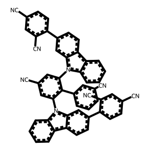 N#Cc1cccc(-c2c(-n3c4ccccc4c4ccc(-c5ccc(C#N)cc5C#N)cc43)cc(C#N)cc2-n2c3ccccc3c3ccc(-c4ccc(C#N)cc4C#N)cc32)c1